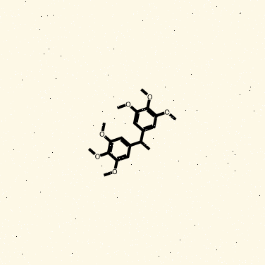 COc1cc(C(C)c2cc(OC)c(OC)c(OC)c2)cc(OC)c1OC